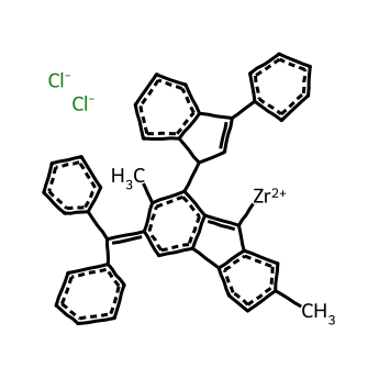 Cc1ccc2c(c1)[C]([Zr+2])=c1c-2cc(=C(c2ccccc2)c2ccccc2)c(C)c1C1C=C(c2ccccc2)c2ccccc21.[Cl-].[Cl-]